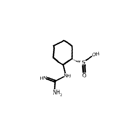 N=C(N)NC1CCCC[C@@H]1S(=O)O